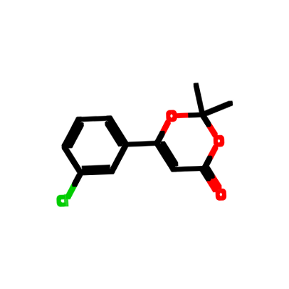 CC1(C)OC(=O)C=C(c2cccc(Cl)c2)O1